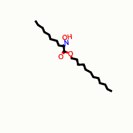 CCCCCCCCCCCCOC(=O)C(CCCCCCCC)=NO